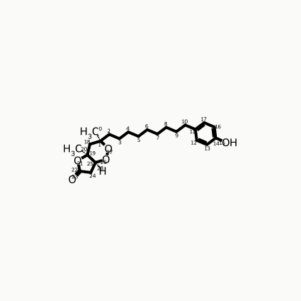 C[C@@]1(CCCCCCCCCc2ccc(O)cc2)C[C@]2(C)OC(=O)C[C@@H]2OO1